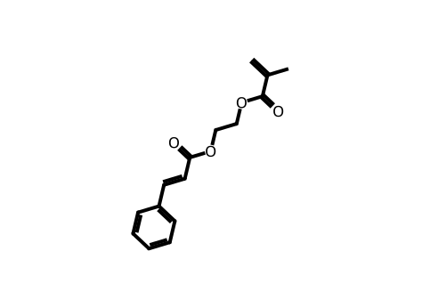 C=C(C)C(=O)OCCOC(=O)C=Cc1ccccc1